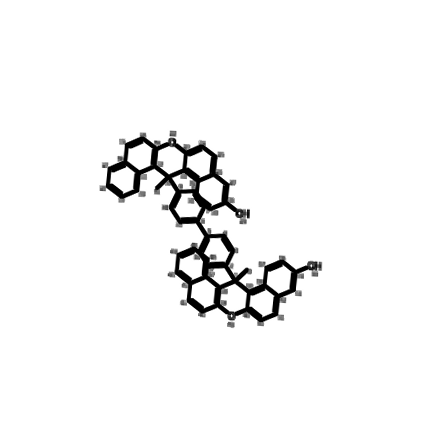 CC1(c2ccc(-c3ccc(C4(C)c5c(ccc6ccccc56)Oc5ccc6cc(O)ccc6c54)cc3)cc2)c2c(ccc3ccccc23)Oc2ccc3cc(O)ccc3c21